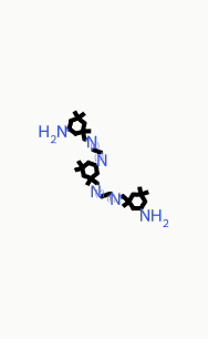 CC1(C)CC(N)CC(C)(C/N=C/C=N\CC2(C)CC(/N=C\C=N\CC3(C)CC(N)CC(C)(C)C3)CC(C)(C)C2)C1